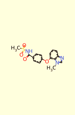 Cn1cnc2cccc(Oc3ccc(C(=O)NS(C)(=O)=O)cc3)c21